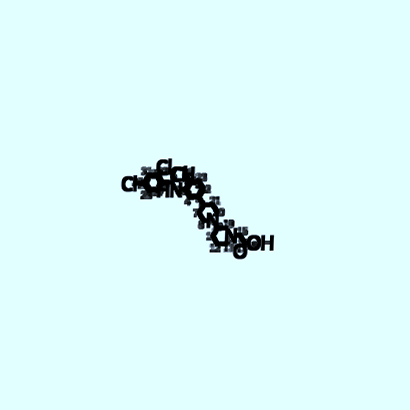 C[C@@H](Nc1cc(C2CCN([C@@H]3CCCN(CC(=O)O)C3)CC2)ccc1Cl)c1ccc(Cl)cc1Cl